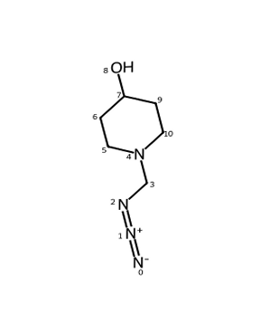 [N-]=[N+]=NCN1CCC(O)CC1